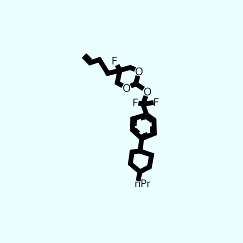 C=CCCC1(F)COC(OC(F)(F)c2ccc(C3CCC(CCC)CC3)cc2)OC1